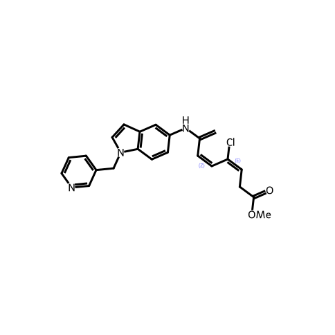 C=C(/C=C\C(Cl)=C/CC(=O)OC)Nc1ccc2c(ccn2Cc2cccnc2)c1